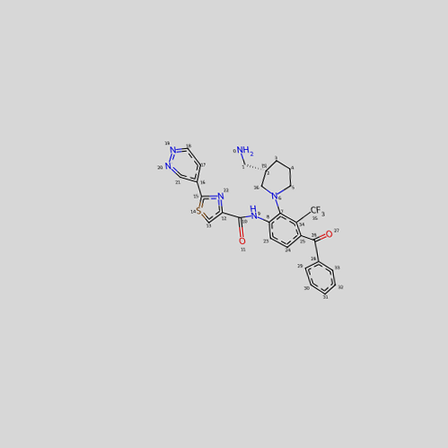 NC[C@@H]1CCCN(c2c(NC(=O)c3csc(-c4ccnnc4)n3)ccc(C(=O)c3ccccc3)c2C(F)(F)F)C1